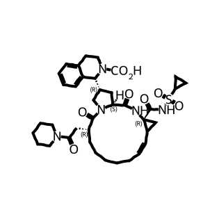 O=C1N[C@]2(C(=O)NS(=O)(=O)C3CC3)CC2C=CCCCCC[C@H](CC(=O)N2CCCCC2)C(=O)N2C[C@H](C3c4ccccc4CCN3C(=O)O)C[C@@H]12